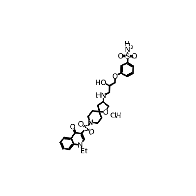 CCn1cc(S(=O)(=O)N2CCC3(CC2)C[C@@H](NCC(O)COc2cccc(S(N)(=O)=O)c2)CO3)c(=O)c2ccccc21.Cl